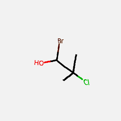 CC(C)(Cl)C(O)Br